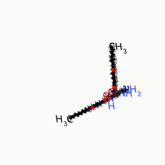 CCCCCCCCCCCCCCCCCCCCCC(=O)NCCN(CCNCCN)C(=O)CCCCCCCCCCCCCCCCCCCCC